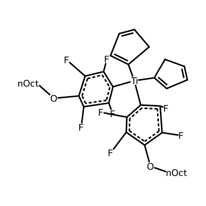 CCCCCCCCOc1c(F)c(F)[c]([Ti]([C]2=CC=CC2)([C]2=CC=CC2)[c]2c(F)c(F)c(OCCCCCCCC)c(F)c2F)c(F)c1F